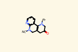 CC(C)N1CC(=O)CC2=C1c1cccnc1N(C#N)C2